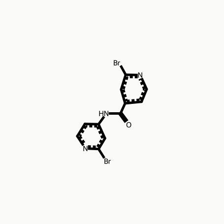 O=C(Nc1ccnc(Br)c1)c1ccnc(Br)c1